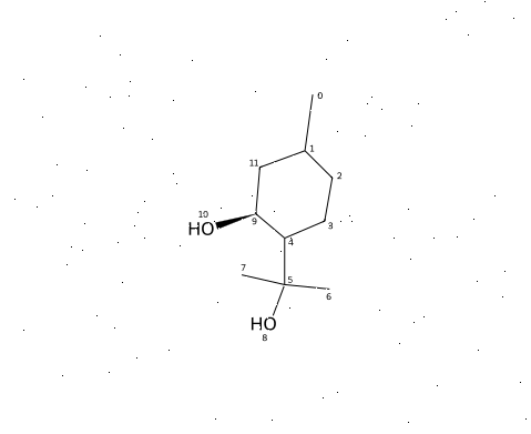 CC1CCC(C(C)(C)O)[C@@H](O)C1